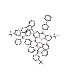 CC(C)(C)c1cccc([Si](c2ccccc2)(c2ccccc2)c2cccc(N3c4cc([Si](c5ccccc5)(c5ccccc5)c5cccc(C(C)(C)C)c5)ccc4B4c5c(-c6ccccc6)cc(C(C)(C)C)cc5N(c5ccc(-c6ccccc6)cc5)c5cc(-n6c7ccccc7c7ccccc76)cc3c54)c2)c1